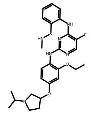 CCOc1cc(OC2CCN(C(C)C)C2)ccc1Nc1ncc(Cl)c(Nc2ccccc2SNC)n1